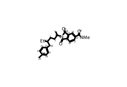 CCC(CCC(C)N1C(=O)c2ccc(C(=O)NC)cc2C1=O)Cc1ccc(C)cc1